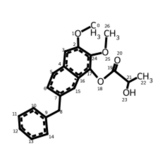 COc1cc2ccc(Cc3ccccc3)cc2c(OC(=O)C(C)O)c1OC